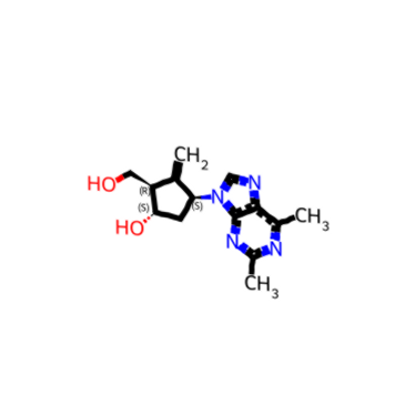 C=C1[C@H](CO)[C@@H](O)C[C@@H]1n1cnc2c(C)nc(C)nc21